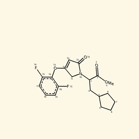 COC(=O)C(CC1CCCC1)N1CC(Oc2c(F)cccc2F)=CC1=O